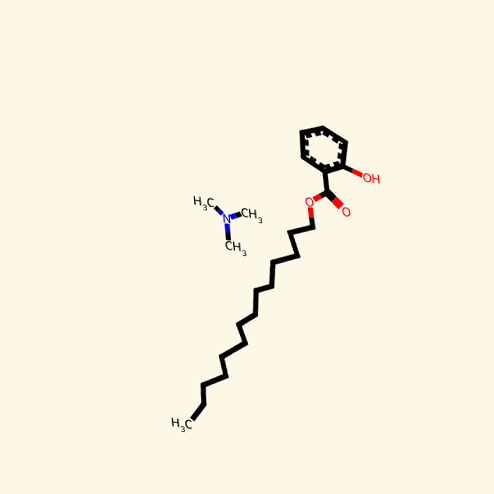 CCCCCCCCCCCCCCOC(=O)c1ccccc1O.CN(C)C